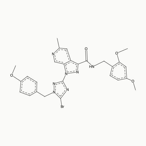 COc1ccc(Cn2nc(-n3nc(C(=O)NCc4ccc(OC)cc4OC)c4cc(C)ncc43)nc2Br)cc1